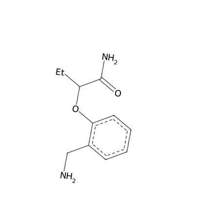 CCC(Oc1ccccc1CN)C(N)=O